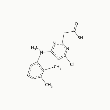 Cc1cccc(N(C)c2cc(Cl)nc(CC(=O)S)n2)c1C